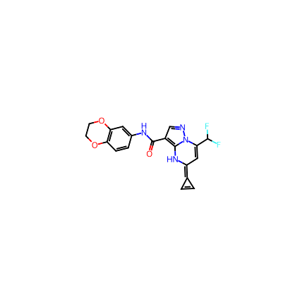 O=C(Nc1ccc2c(c1)OCCO2)c1cnn2c1NC(=C1C=C1)C=C2C(F)F